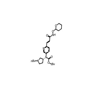 CCCCN1CC[C@@H](N(C(=O)OC(C)(C)C)c2ccc(C=CC(=O)NOC3CCCCO3)nc2)C1